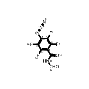 [N-]=[N+]=Nc1c(F)c(F)c(C(=O)NC=O)c(F)c1F